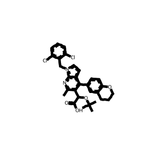 Cc1nc2c(ccn2Cc2c(Cl)cccc2Cl)c(-c2ccc3c(c2)CCCO3)c1C(OC(C)(C)C)C(=O)O